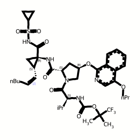 CCCC/C=C\[C@@H]1C[C@]1(NC(=O)[C@@H]1C[C@@H](Oc2ncc(OCCC)c3ccccc23)CN1C(=O)[C@@H](NC(=O)OC(C)(C)C(F)(F)F)C(C)C)C(=O)NS(=O)(=O)C1CC1